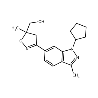 Cc1nn(C2CCCC2)c2cc(C3=NOC(C)(CO)C3)ccc12